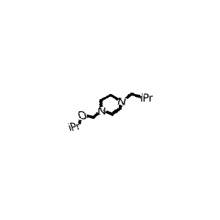 CC(C)CN1CCN(COC(C)C)CC1